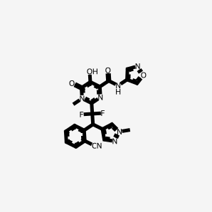 Cn1cc(C(c2ccccc2C#N)C(F)(F)c2nc(C(=O)Nc3cnoc3)c(O)c(=O)n2C)cn1